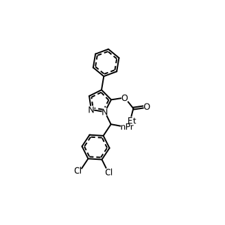 CCCC(c1ccc(Cl)c(Cl)c1)n1ncc(-c2ccccc2)c1OC(=O)CC